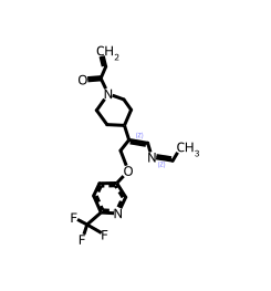 C=CC(=O)N1CCC(/C(=C/N=C\C)COc2ccc(C(F)(F)F)nc2)CC1